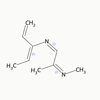 C=CC(=C\C)/N=C\C(C)=N/C